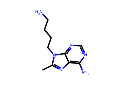 Cc1nc2c(N)ncnc2n1CCCCN